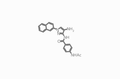 CC(=O)Nc1ccc(C(=O)Nc2nn(-c3ccc4ccccc4c3)cc2N)cc1